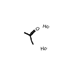 CC(C)=O.[Ho].[Ho]